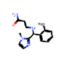 COc1ccccc1C(NCCC(N)=O)c1nccn1C